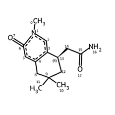 Cn1cc2c(cc1=O)CC(C)(C)C[C@@H]2CC(N)=O